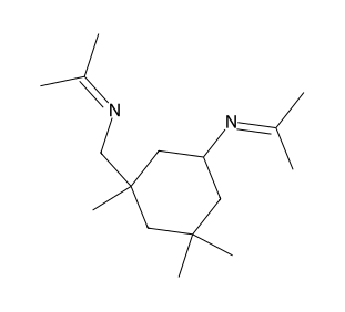 CC(C)=NCC1(C)CC(N=C(C)C)CC(C)(C)C1